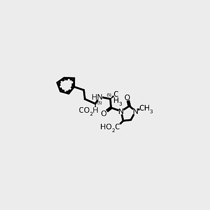 C[C@H](N[C@@H](CCc1ccccc1)C(=O)O)C(=O)N1C(=O)N(C)CC1C(=O)O